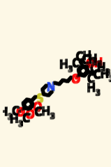 COc1ccc(CSC2CCN(CCCCCOc3cc(C(C)(C)C)c(O)c(C(C)(C)C)c3)CC2)c(OC)c1OC